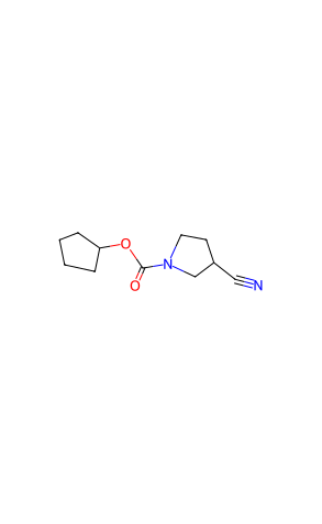 N#CC1CCN(C(=O)OC2CCCC2)C1